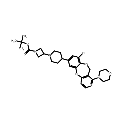 CC(C)(C)OC(=O)N1CC(N2CCC(c3cc(Cl)c4c(c3)Nc3ncnc(N5CCOCC5)c3CO4)CC2)C1